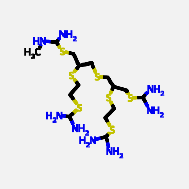 CNC(N)SCC(CSCC(CSC(N)N)SCCSC(N)N)SCCSC(N)N